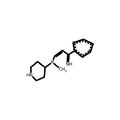 CN(/C=C\C(=N)c1ccccc1)C1CCNCC1